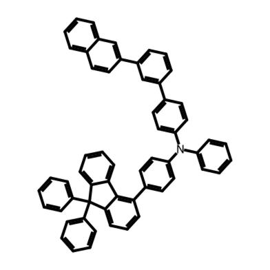 c1ccc(N(c2ccc(-c3cccc(-c4ccc5ccccc5c4)c3)cc2)c2ccc(-c3cccc4c3-c3ccccc3C4(c3ccccc3)c3ccccc3)cc2)cc1